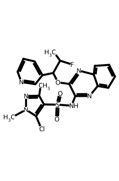 Cc1nn(C)c(Cl)c1S(=O)(=O)Nc1nc2ccccc2nc1OC(c1cccnc1)C(C)F